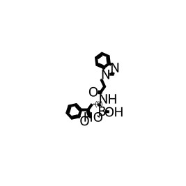 O=C(CCn1cnc2ccccc21)N[C@@H](Cc1coc2ccccc12)B(O)O